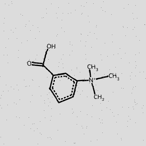 C[N+](C)(C)c1cccc(C(=O)O)c1